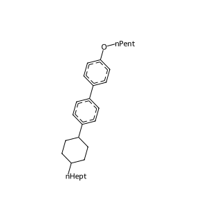 CCCCCCCC1CCC(c2ccc(-c3ccc(OCCCCC)cc3)cc2)CC1